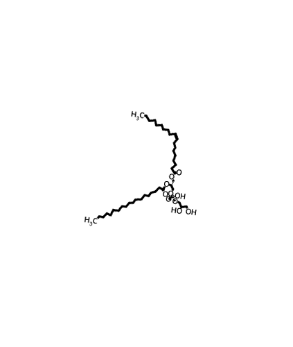 CCCCCCCCC/C=C\CCCCCCCC(=O)OC[C@H](COP(=O)(O)OC[C@@H](O)CO)OC(=O)CCCCCCCCCCCCCCCCCC